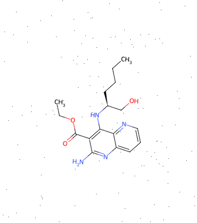 CCCC[C@@H](CO)Nc1c(C(=O)OCC)c(N)nc2cccnc12